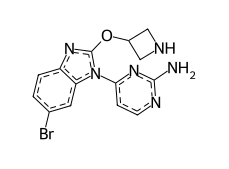 Nc1nccc(-n2c(OC3CNC3)nc3ccc(Br)cc32)n1